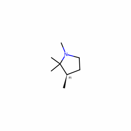 C[C@@H]1CCN(C)C1(C)C